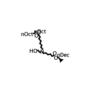 CCCCCCCCCCC(OC(=O)CCCCCN(CCO)CCCCCCCC(=O)OC(CCCCCCCC)CCCCCCCC)C1CC1